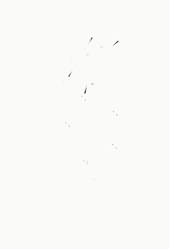 CC1(C)O[C@@H]2[C@@H](CO)C[C@@H](n3cnc4c(NC(=O)c5ccccc5)ncnc43)[C@@H]2O1